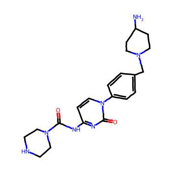 NC1CCN(Cc2ccc(-n3ccc(NC(=O)N4CCNCC4)nc3=O)cc2)CC1